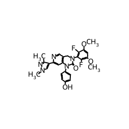 COc1cc(OC)c(F)c(N2Cc3cnc(-c4cn(C)nc4C)cc3N(c3ccc(O)cc3)C2=O)c1F